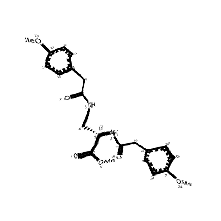 COC(=O)[C@H](CNC(=O)Cc1ccc(OC)cc1)NC(=O)Cc1ccc(OC)cc1